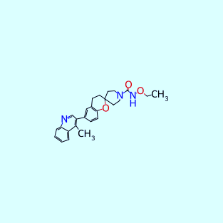 CCONC(=O)N1CCC2(CCc3cc(-c4cnc5ccccc5c4C)ccc3O2)CC1